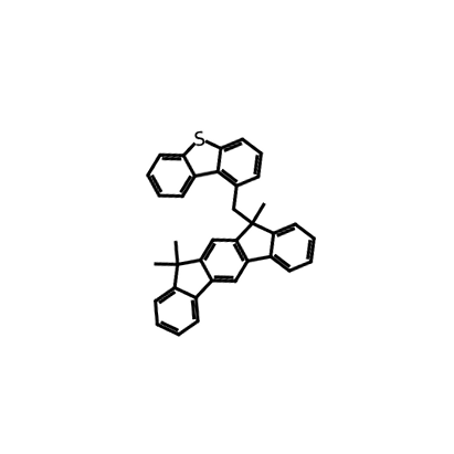 CC1(C)c2ccccc2-c2cc3c(cc21)C(C)(Cc1cccc2sc4ccccc4c12)c1ccccc1-3